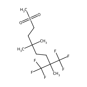 CC(C)(CCC(C)(C(F)(F)F)C(F)(F)F)CCS(C)(=O)=O